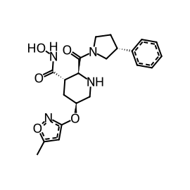 Cc1cc(O[C@@H]2CN[C@H](C(=O)N3CC[C@H](c4ccccc4)C3)[C@@H](C(=O)NO)C2)no1